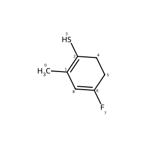 CC1=C(S)CCC(F)=C1